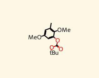 COc1cc(C)c(OC)c(OC(=O)OC(C)(C)C)c1